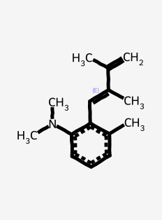 C=C(C)/C(C)=C/c1c(C)cccc1N(C)C